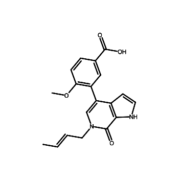 C/C=C/Cn1cc(-c2cc(C(=O)O)ccc2OC)c2cc[nH]c2c1=O